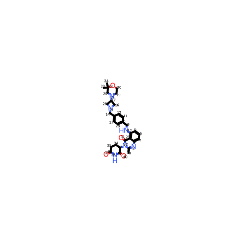 Cc1nc2cccc(NCc3ccc(CN4CC(N5CCOC(C)(C)C5)C4)cc3)c2c(=O)n1C1CCC(=O)NC1=O